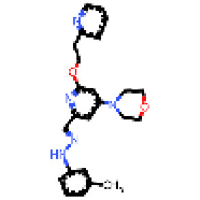 Cc1cccc(NN=Cc2cc(N3CCOCC3)cc(OCCc3ccccn3)n2)c1